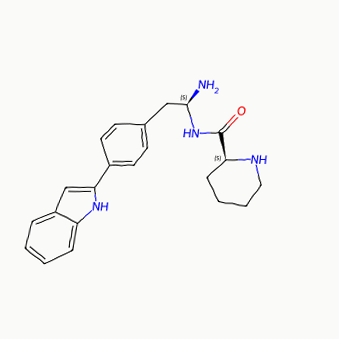 N[C@H](Cc1ccc(-c2cc3ccccc3[nH]2)cc1)NC(=O)[C@@H]1CCCCN1